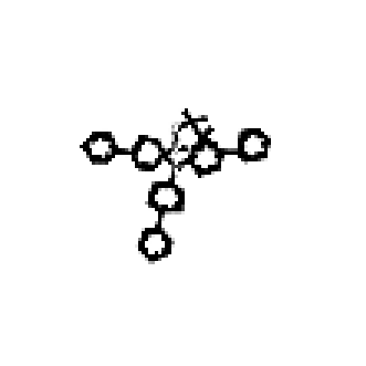 CC1(C)OB(C2(N(c3ccc(-c4ccccc4)cc3)c3ccc(-c4ccccc4)cc3)C=CC(c3ccccc3)=CC2)OC1(C)C